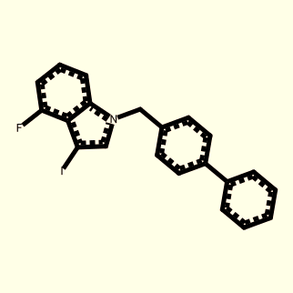 Fc1cccc2c1c(I)cn2Cc1ccc(-c2ccccc2)cc1